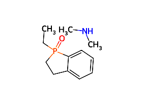 CCP1(=O)CCc2ccccc21.CNC